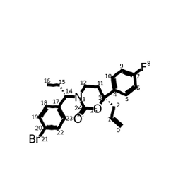 C=CC[C@@]1(c2ccc(F)cc2)CCN([C@@H](CC)c2ccc(Br)cc2)C(=O)O1